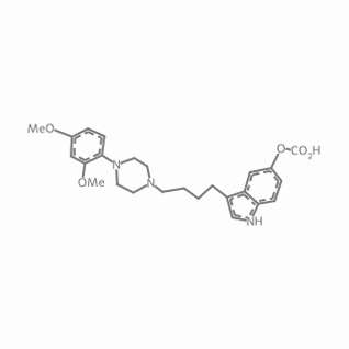 COc1ccc(N2CCN(CCCCc3c[nH]c4ccc(OC(=O)O)cc34)CC2)c(OC)c1